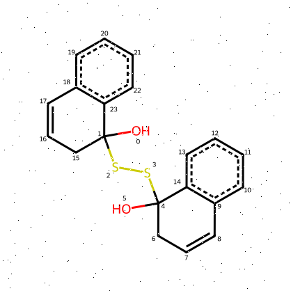 OC1(SSC2(O)CC=Cc3ccccc32)CC=Cc2ccccc21